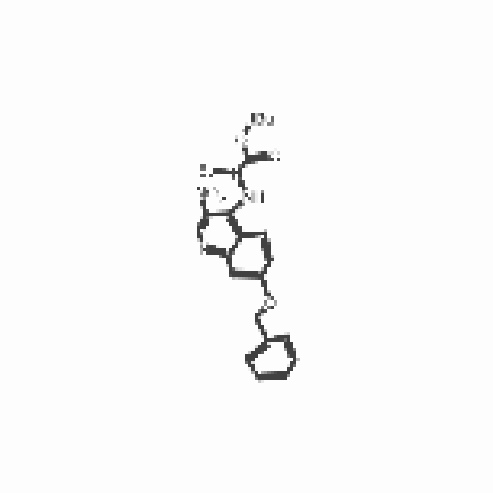 CCN(Nc1c([N+](=O)[O-])cnc2cc(OCc3ccccc3)ccc12)C(=O)OC(C)(C)C